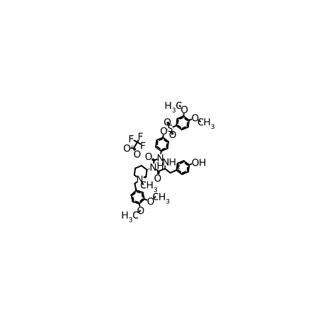 COc1ccc(C[N+]2(C)CCC[C@H](N(C(=O)Nc3ccc(OS(=O)(=O)c4ccc(OC)c(OC)c4)cc3)C(=O)[C@@H](N)Cc3ccc(O)cc3)C2)cc1OC.O=C([O-])C(F)(F)F